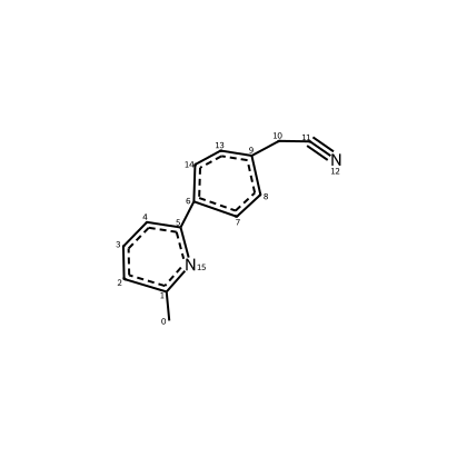 Cc1cccc(-c2ccc(CC#N)cc2)n1